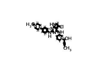 CC#CC(O)N1CCC[C@@H](Nc2nc(Nc3ccc(N4CCN(C)CC4)cc3)nc3[nH]cc(Cl)c23)C1